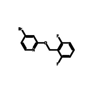 Fc1cccc(F)c1COc1cc(Br)ccn1